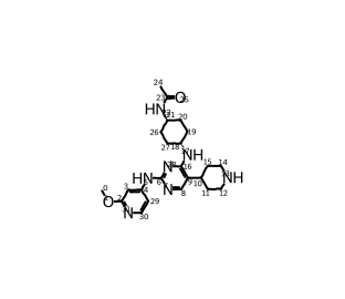 COc1cc(Nc2ncc(C3CCNCC3)c(N[C@H]3CC[C@H](NC(C)=O)CC3)n2)ccn1